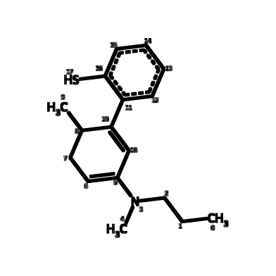 CCCN(C)C1=CCC(C)C(c2ccccc2S)=C1